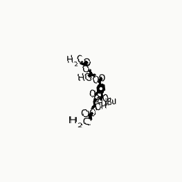 C=CC(=O)OCC(O)COC(=O)c1ccc(C(=O)OC(C)CC)c(C(=O)OCC(O)COC(=O)C=C)c1